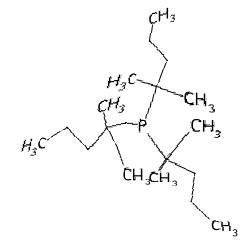 CCCC(C)(C)P(C(C)(C)CCC)C(C)(C)CCC